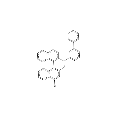 Brc1cc2c(c3ccccc13)-c1c(ccc3ccccc13)C(c1cccc(-c3ccccc3)c1)C2